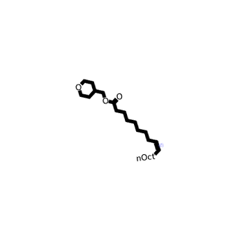 CCCCCCCC/C=C\CCCCCCCC(=O)OCC1CCOCC1